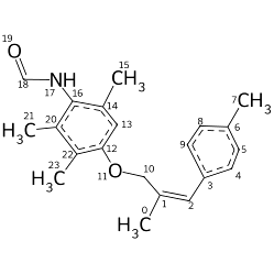 CC(=Cc1ccc(C)cc1)COc1cc(C)c(NC=O)c(C)c1C